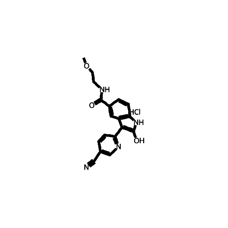 COCCNC(=O)c1ccc2[nH]c(O)c(-c3ccc(C#N)cn3)c2c1.Cl